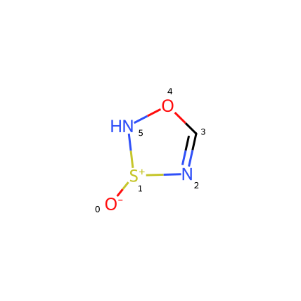 [O-][S+]1N=CON1